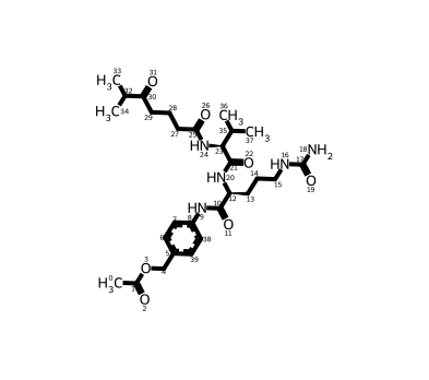 CC(=O)OCc1ccc(NC(=O)[C@H](CCCNC(N)=O)NC(=O)[C@@H](NC(=O)CCCC(=O)C(C)C)C(C)C)cc1